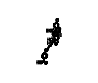 C[C@@H]1C[C@H]2[C@@H]3CCC4=CC(=O)C=C[C@]4(C)[C@@]3(F)[C@@H](O)C[C@]2(C)[C@@]1(O)C(=O)NCCCOc1ccc(C(=O)O)cc1